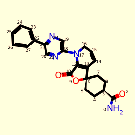 NC(=O)[C@H]1CC[C@@]2(CC1)OC(=O)C1=C2C=CCN1c1cnc(-c2ccccc2)cn1